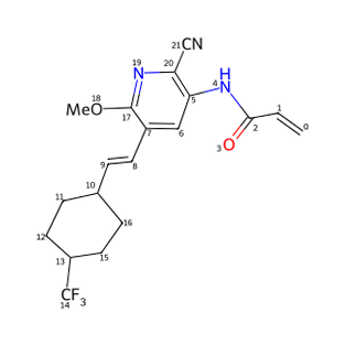 C=CC(=O)Nc1cc(C=CC2CCC(C(F)(F)F)CC2)c(OC)nc1C#N